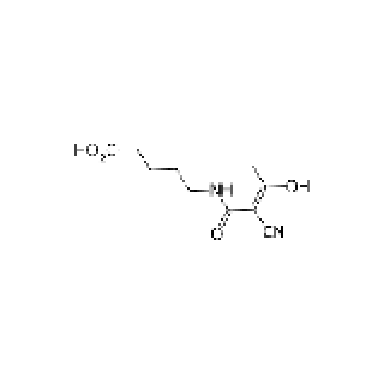 CC(O)=C(C#N)C(=O)NCCCCC(=O)O